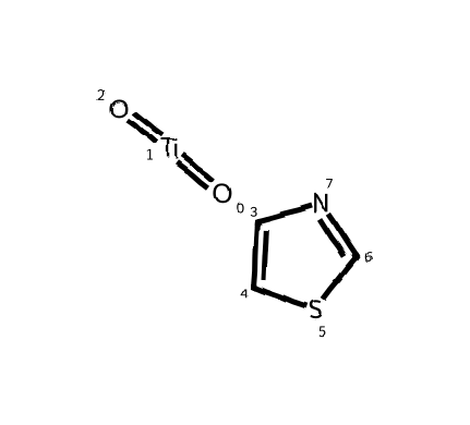 [O]=[Ti]=[O].c1cscn1